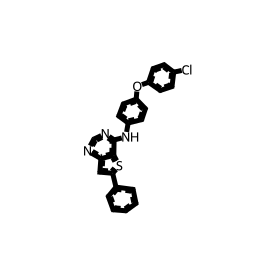 Clc1ccc(Oc2ccc(Nc3ncnc4cc(-c5ccccc5)sc34)cc2)cc1